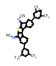 N#C/N=c1/c2cc(-c3cc(C(F)(F)F)cc(C(F)(F)F)c3)ccc2c2c1sc1/c(=N/C#N)c3cc(-c4cc(C(F)(F)F)cc(C(F)(F)F)c4)ccc3c12